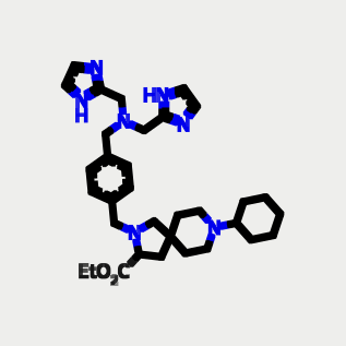 CCOC(=O)C1CC2(CCN(C3CCCCC3)CC2)CN1Cc1ccc(CN(Cc2ncc[nH]2)Cc2ncc[nH]2)cc1